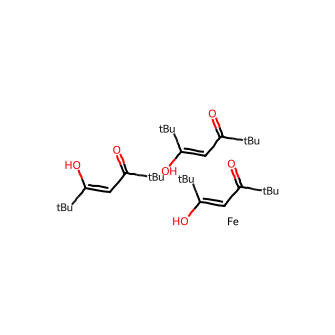 CC(C)(C)C(=O)/C=C(/O)C(C)(C)C.CC(C)(C)C(=O)/C=C(/O)C(C)(C)C.CC(C)(C)C(=O)/C=C(\O)C(C)(C)C.[Fe]